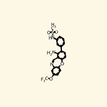 CS(=O)(=O)Nc1cccc(-c2ccc3c(c2N)C=Nc2cc(OC(F)(F)F)ccc2O3)c1